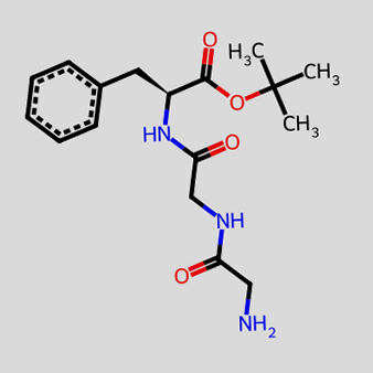 CC(C)(C)OC(=O)[C@H](Cc1ccccc1)NC(=O)CNC(=O)CN